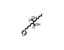 CCCCCC/C(C(=O)O)=C(/CCCCCN1CCOCC1)C(=O)O